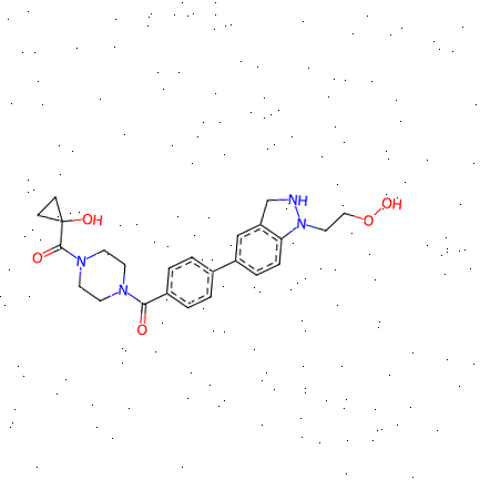 O=C(c1ccc(-c2ccc3c(c2)CNN3CCOO)cc1)N1CCN(C(=O)C2(O)CC2)CC1